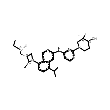 CC[S@+]([O-])C[C@@H]1CN(c2ccc(C(C)C)c3cc(Nc4ccnc(N5CC[C@H](O)[C@](C)(F)C5)n4)ncc23)[C@H]1C